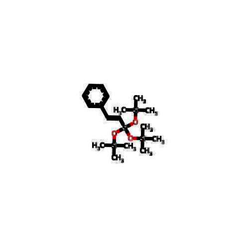 C[Si](C)(C)O[Si](C=Cc1ccccc1)(O[Si](C)(C)C)O[Si](C)(C)C